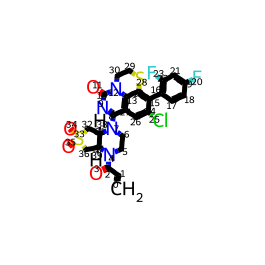 C=CC(=O)N1CCN(c2nc(=O)n3c4c(c(-c5ccc(F)cc5F)c(Cl)cc24)SCC3)[C@@H]2CS(=O)(=O)C[C@@H]21